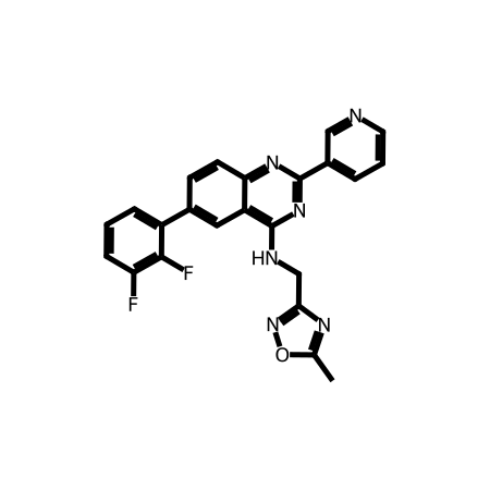 Cc1nc(CNc2nc(-c3cccnc3)nc3ccc(-c4cccc(F)c4F)cc23)no1